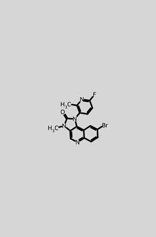 Cc1nc(F)ccc1-n1c(=O)n(C)c2cnc3ccc(Br)cc3c21